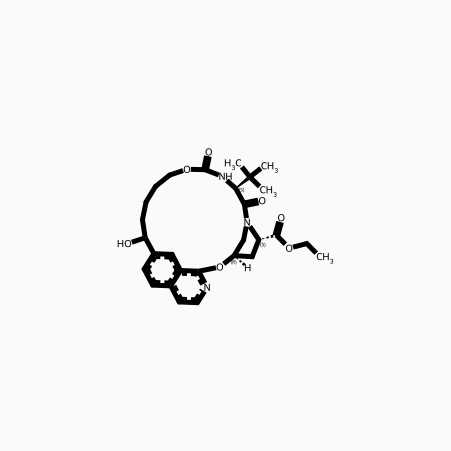 CCOC(=O)[C@@H]1C[C@@H]2CN1C(=O)[C@H](C(C)(C)C)NC(=O)OCCCCC(O)c1ccc3ccnc(c3c1)O2